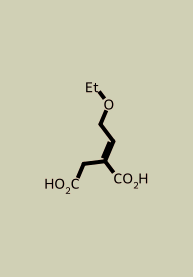 CCOCC=C(CC(=O)O)C(=O)O